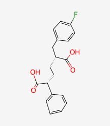 O=C(O)[C@H](CC[C@@H](C(=O)O)c1ccccc1)Cc1ccc(F)cc1